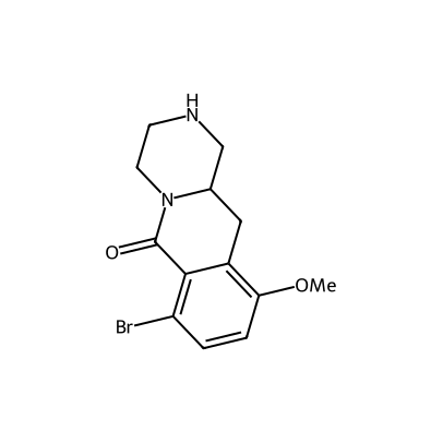 COc1ccc(Br)c2c1CC1CNCCN1C2=O